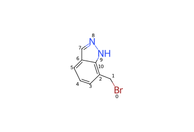 BrCc1cccc2cn[nH]c12